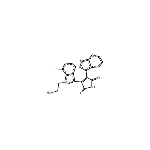 NCCn1cc(C2=C(c3c[nH]c4ccccc34)C(=O)NC2=O)c2cccc(F)c21